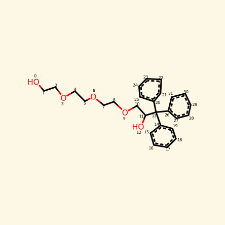 OCCOCCOCCOCC(O)C(c1ccccc1)(c1ccccc1)c1ccccc1